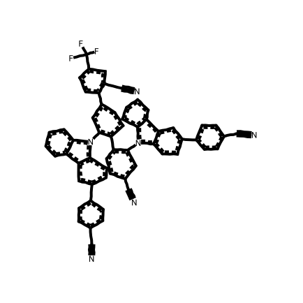 N#Cc1ccc(-c2ccc3c(c2)c2ccccc2n3-c2cc(C#N)ccc2-c2ccc(-c3ccc(C(F)(F)F)cc3C#N)cc2-n2c3ccccc3c3cc(-c4ccc(C#N)cc4)ccc32)cc1